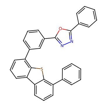 c1ccc(-c2nnc(-c3cccc(-c4cccc5c4sc4c(-c6ccccc6)cccc45)c3)o2)cc1